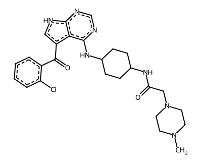 CN1CCN(CC(=O)NC2CCC(Nc3ncnc4[nH]cc(C(=O)c5ccccc5Cl)c34)CC2)CC1